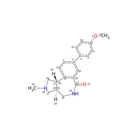 COc1ccc(-c2ccc3c(c2)C(=O)NC[C@H]2CN(C)C[C@H]32)cc1